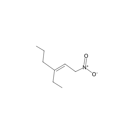 CCCC(=CC[N+](=O)[O-])CC